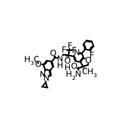 COc1cc(C(=O)NC[C@@](O)(c2cc3c(c(-c4ccccc4F)n2)OC[C@]3(C)C(N)=O)C(F)(F)F)cc2cn(C3CC3)nc12